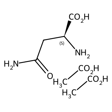 CC(=O)O.CC(=O)O.NC(=O)C[C@H](N)C(=O)O